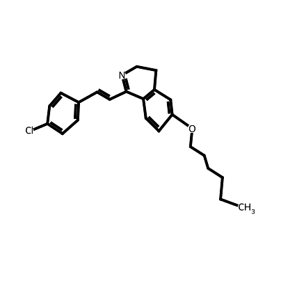 CCCCCCOc1ccc2c(c1)CCN=C2C=Cc1ccc(Cl)cc1